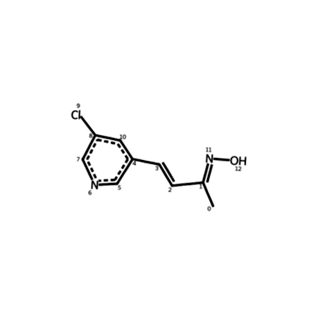 CC(C=Cc1cncc(Cl)c1)=NO